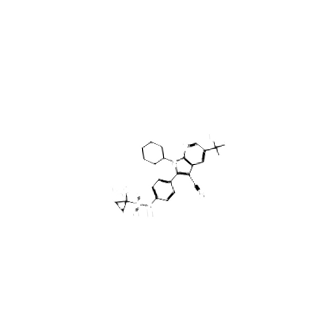 CC1(S(=O)(=O)Nc2ccc(-c3c(C#N)c4cc(C(F)(F)F)cnc4n3C3CCCCC3)cc2)CC1